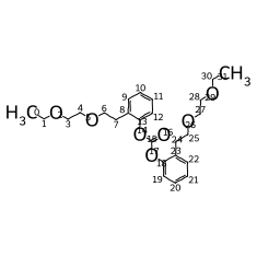 CCOCCOCCc1ccccc1OC(=O)Oc1ccccc1CCOCCOCC